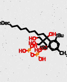 CCCCCCCCCCCCCCCCCCC(O)(c1c(C(C)(C)C)cc(C)cc1C(C)(C)C)C(CO)(CO)CO.OP(O)OP(O)O